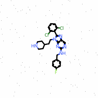 Fc1ccc(CNc2ncc3nc(-c4c(Cl)cccc4Cl)n(CCC4CCNCC4)c3n2)cc1